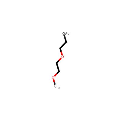 CC(=O)OCCOCCOC(F)(F)F